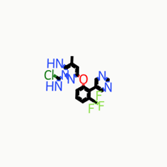 Cc1cc(Oc2cccc(C(F)(F)F)c2-c2cncnc2)nn(C(=N)Cl)c1=N